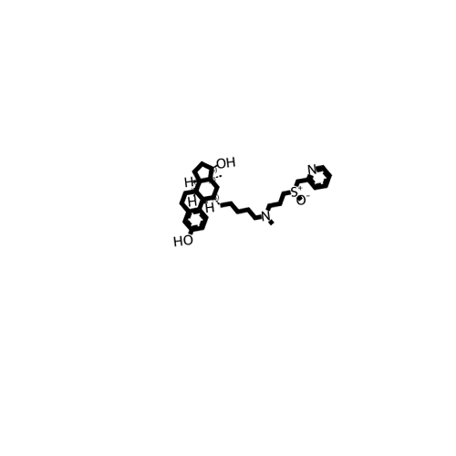 CN(CCCCC[C@H]1C[C@]2(C)[C@@H](O)CC[C@H]2[C@@H]2CCc3cc(O)ccc3[C@@H]12)CCC[S+]([O-])Cc1ccccn1